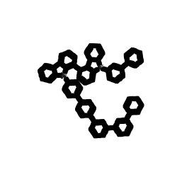 C1=CC(c2cccc3c4ccccc4n(-c4ccc(-c5ccc(-c6cccc(-c7cccc(C8=CCCC=C8)c7)c6)cc5)cc4)c23)C2C(=C1)N(c1cccc(-c3ccccc3)c1)C1C=CC=CC21